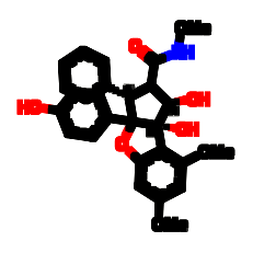 CONC(=O)C1[C@@H](c2ccccc2)C2(c3ccc(O)cc3)Oc3cc(OC)cc(OC)c3[C@]2(O)[C@@H]1O